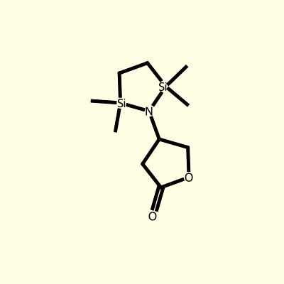 C[Si]1(C)CC[Si](C)(C)N1C1COC(=O)C1